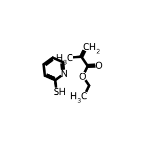 C=C(C)C(=O)OCC.Sc1ccccn1